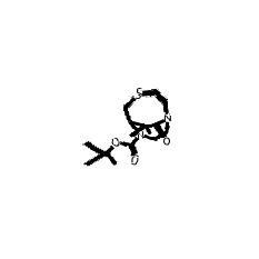 CC(C)(C)OC(=O)N1CCN2CCSCC1C(C)(C)C2=O